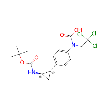 CC(C)(C)OC(=O)N[C@@H]1C[C@H]1c1ccc(N(CC(Cl)(Cl)Cl)C(=O)O)cc1